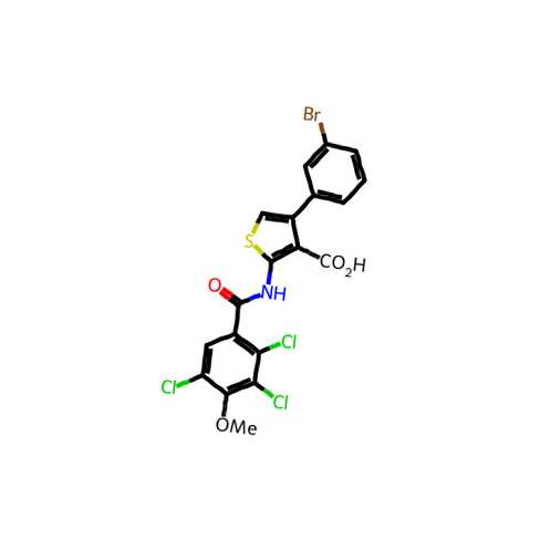 COc1c(Cl)cc(C(=O)Nc2scc(-c3cccc(Br)c3)c2C(=O)O)c(Cl)c1Cl